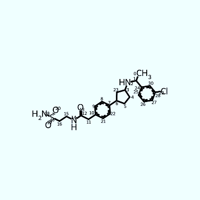 CC(NC1CCC(c2ccc(CC(=O)NCCS(N)(=O)=O)cc2)C1)c1cccc(Cl)c1